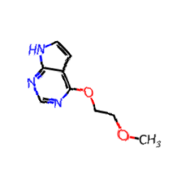 COCCOc1ncnc2[nH]ccc12